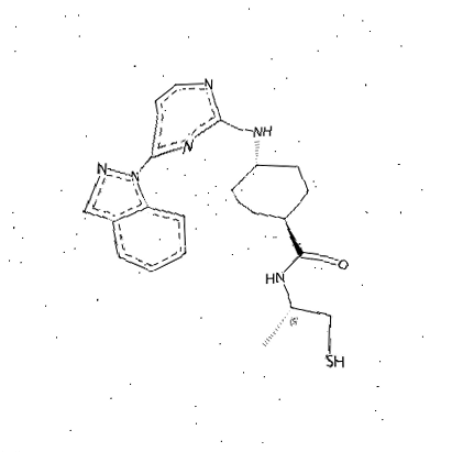 C[C@@H](CS)NC(=O)[C@H]1CC[C@H](Nc2nccc(-n3ncc4ccccc43)n2)CC1